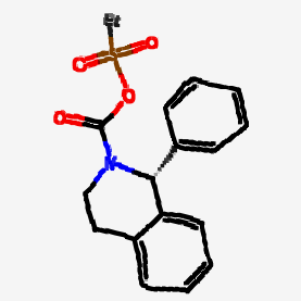 CCS(=O)(=O)OC(=O)N1CCc2ccccc2[C@H]1c1ccccc1